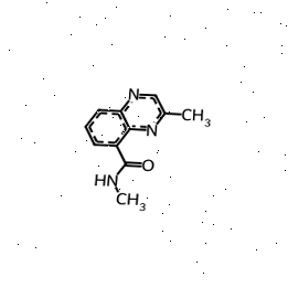 CNC(=O)c1cccc2ncc(C)nc12